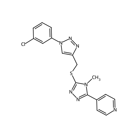 Cn1c(SCc2cn(-c3cccc(Cl)c3)nn2)nnc1-c1ccncc1